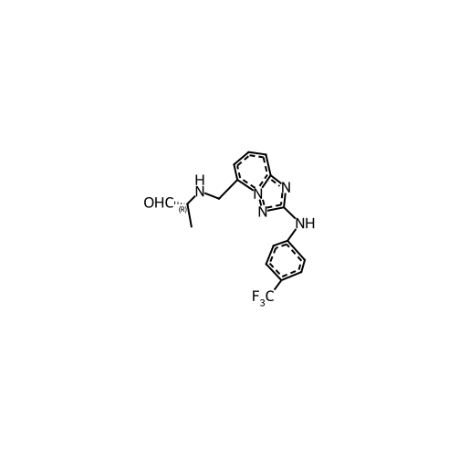 C[C@H](C=O)NCc1cccc2nc(Nc3ccc(C(F)(F)F)cc3)nn12